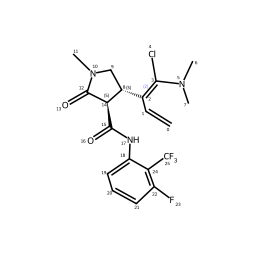 C=C/C(=C(/Cl)N(C)C)[C@H]1CN(C)C(=O)[C@@H]1C(=O)Nc1cccc(F)c1C(F)(F)F